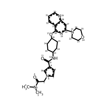 CN(C)C(=O)Cn1ccc(C(=O)NC2CCC(Oc3nc(N4CCOCC4)cc4ncccc34)CC2)c1